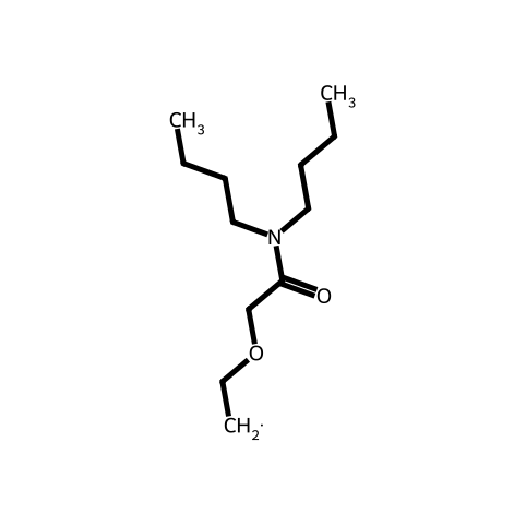 [CH2]COCC(=O)N(CCCC)CCCC